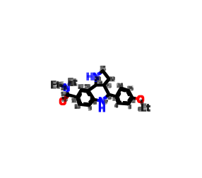 CCOc1ccc(C2Nc3ccc(C(=O)N(CC)CC)cc3C3NCCC23)cc1